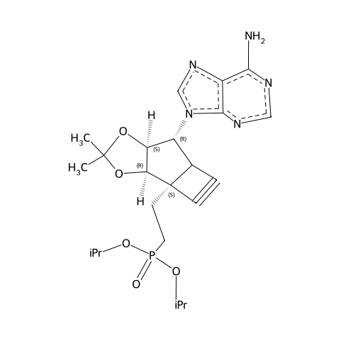 CC(C)OP(=O)(CC[C@@]12C#CC1[C@@H](n1cnc3c(N)ncnc31)[C@@H]1OC(C)(C)O[C@@H]12)OC(C)C